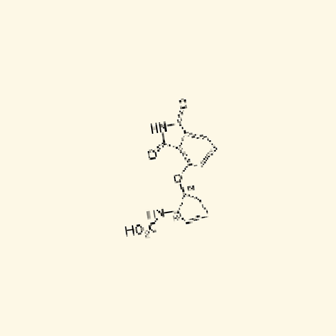 O=C(O)N[C@@H]1C=CC[C@@H]1Oc1cccc2c1C(=O)NC2=O